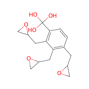 OC(O)(O)c1ccc(CC2CO2)c(CC2CO2)c1CC1CO1